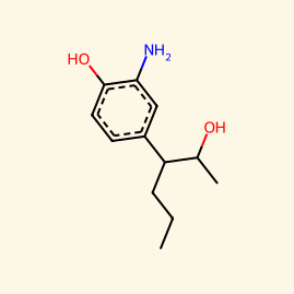 CCCC(c1ccc(O)c(N)c1)C(C)O